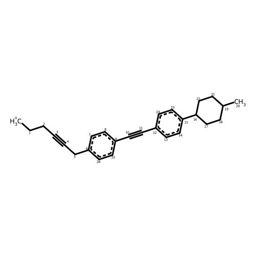 CCCC#CCc1ccc(C#Cc2ccc(C3CCC(C)CC3)cc2)cc1